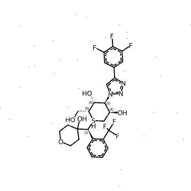 OC[C@@H]1[C@H](O)[C@@H](n2cc(-c3cc(F)c(F)c(F)c3)nn2)[C@@H](O)C[SH]1[C@@H](c1ccccc1C(F)(F)F)C1(O)CCOCC1